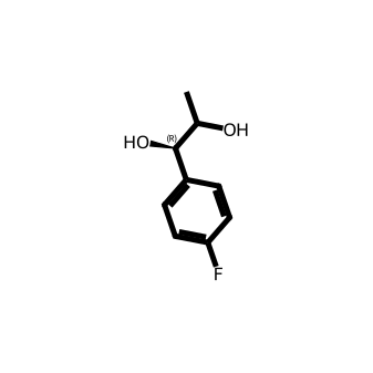 CC(O)[C@H](O)c1ccc(F)cc1